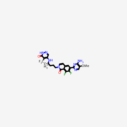 COc1cnc(-c2cc3ccn(CCC[C@H](C)Nc4cn[nH]c(=O)c4C(F)(F)F)c(=O)c3c(F)c2F)nc1N